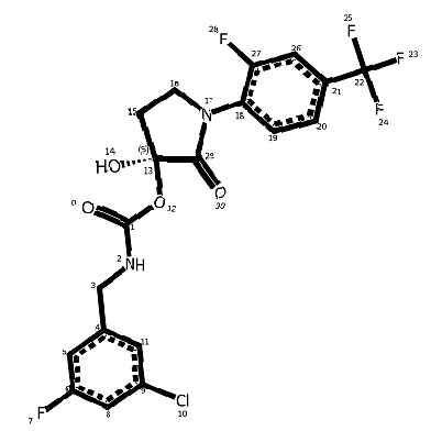 O=C(NCc1cc(F)cc(Cl)c1)O[C@@]1(O)CCN(c2ccc(C(F)(F)F)cc2F)C1=O